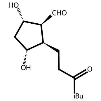 CCC(C)C(=O)CC[C@@H]1[C@H](C=O)[C@@H](O)C[C@H]1O